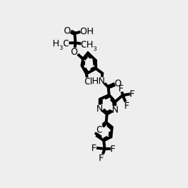 CC(C)(Oc1ccc(CNC(=O)c2cnc(-c3ccc(C(F)(F)F)cc3)nc2C(F)(F)F)c(Cl)c1)C(=O)O